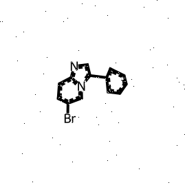 Brc1ccc2ncc(-c3ccccc3)n2c1